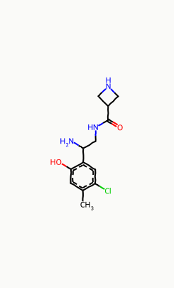 Cc1cc(O)c(C(N)CNC(=O)C2CNC2)cc1Cl